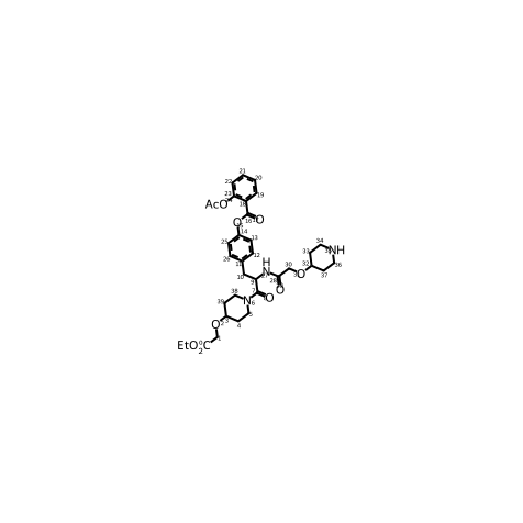 CCOC(=O)COC1CCN(C(=O)C(Cc2ccc(OC(=O)c3ccccc3OC(C)=O)cc2)NC(=O)COC2CCNCC2)CC1